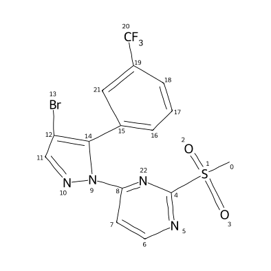 CS(=O)(=O)c1nccc(-n2ncc(Br)c2-c2cccc(C(F)(F)F)c2)n1